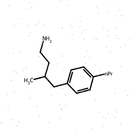 CCCc1ccc(CC(C)CCN)cc1